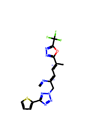 C=N/C(=C\C=C(/C)c1nnc(C(F)(F)F)o1)Cn1nnc(-c2cccs2)n1